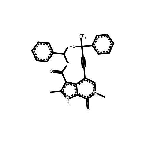 Cc1[nH]c2c(=O)n(C)cc(C#CC(O)(c3ccccc3)C(F)(F)F)c2c1C(=O)OC(C)c1ccccc1